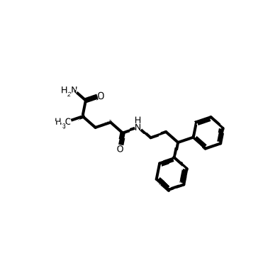 CC(C[CH]C(=O)NCCC(c1ccccc1)c1ccccc1)C(N)=O